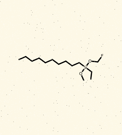 CCCCCCCCCC[Si](CC)(OC)OCF